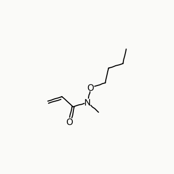 C=CC(=O)N(C)OCCCC